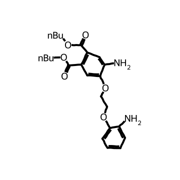 CCCCOC(=O)c1cc(N)c(OCCOc2ccccc2N)cc1C(=O)OCCCC